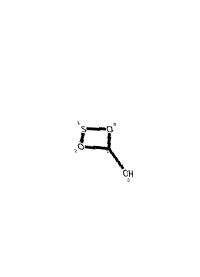 OC1OSO1